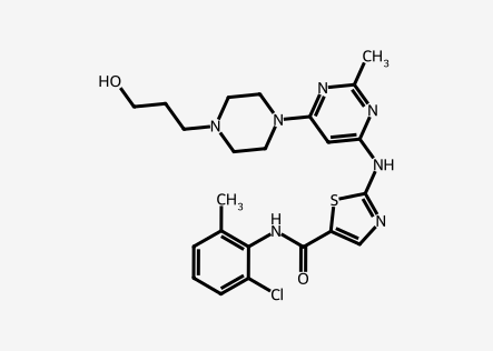 Cc1nc(Nc2ncc(C(=O)Nc3c(C)cccc3Cl)s2)cc(N2CCN(CCCO)CC2)n1